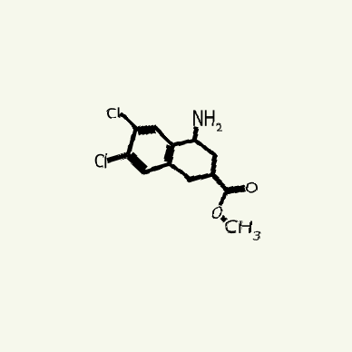 COC(=O)C1Cc2cc(Cl)c(Cl)cc2C(N)C1